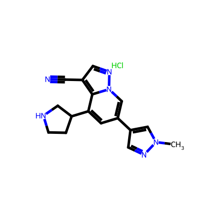 Cl.Cn1cc(-c2cc(C3CCNC3)c3c(C#N)cnn3c2)cn1